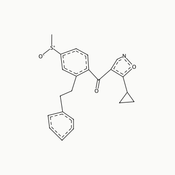 C[S+]([O-])c1ccc(C(=O)c2cnoc2C2CC2)c(CCc2ccccc2)c1